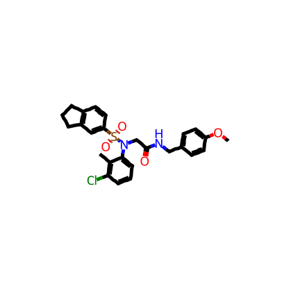 COc1ccc(CNC(=O)CN(c2cccc(Cl)c2C)S(=O)(=O)c2ccc3c(c2)CCC3)cc1